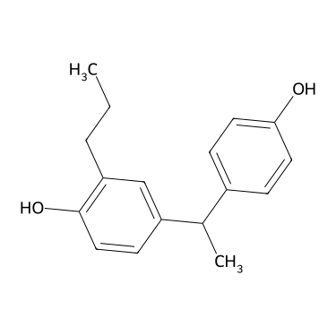 CCCc1cc(C(C)c2ccc(O)cc2)ccc1O